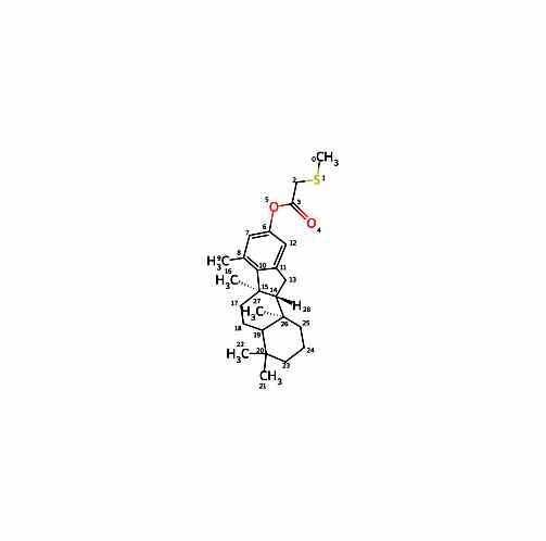 CSCC(=O)Oc1cc(C)c2c(c1)C[C@H]1[C@@]2(C)CCC2C(C)(C)CCC[C@@]21C